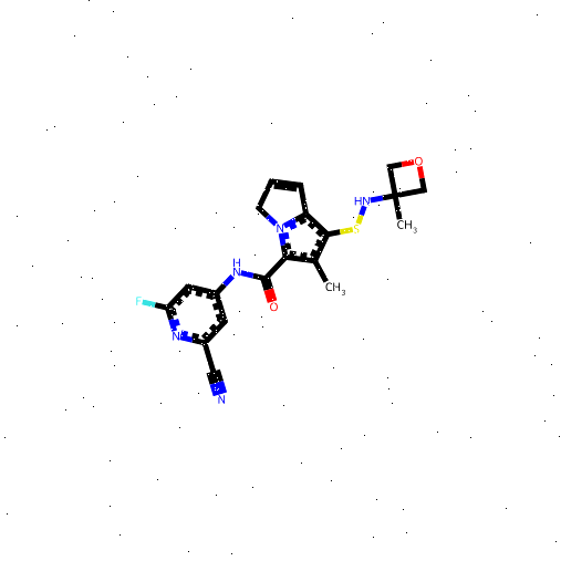 Cc1c(SNC2(C)COC2)c2n(c1C(=O)Nc1cc(F)nc(C#N)c1)CC=C2